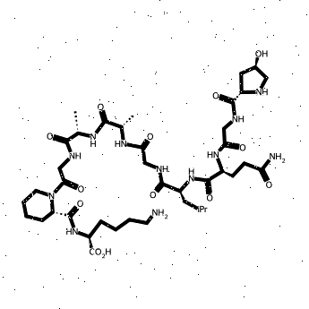 CC(C)C[C@H](NC(=O)[C@H](CCC(N)=O)NC(=O)CNC(=O)[C@@H]1C[C@@H](O)CN1)C(=O)NCC(=O)N[C@@H](C)C(=O)N[C@@H](C)C(=O)NCC(=O)N1CCCC[C@H]1C(=O)N[C@@H](CCCCN)C(=O)O